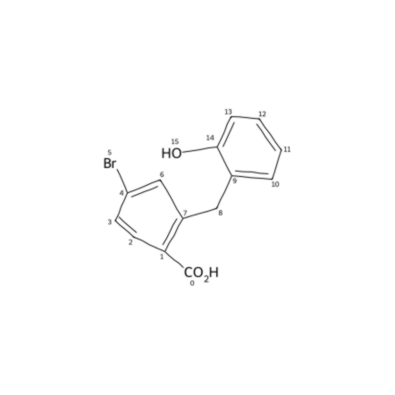 O=C(O)c1ccc(Br)cc1Cc1ccccc1O